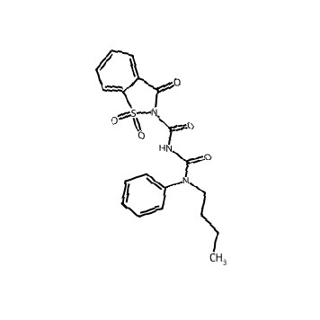 CCCCN(C(=O)NC(=O)N1C(=O)c2ccccc2S1(=O)=O)c1ccccc1